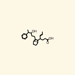 CC=CC(CCC(=O)O)C1C2CCC(O2)C1CCC(O)C(C)c1ccccc1